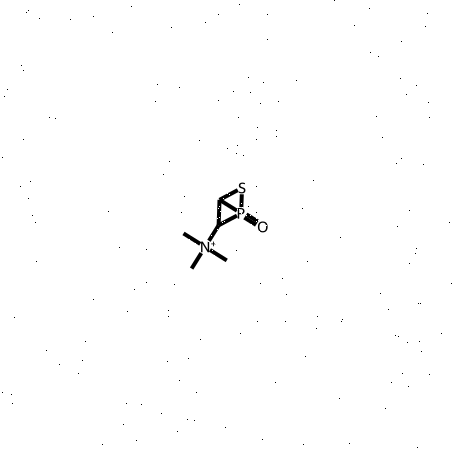 C[N+](C)(C)C1C2SP21=O